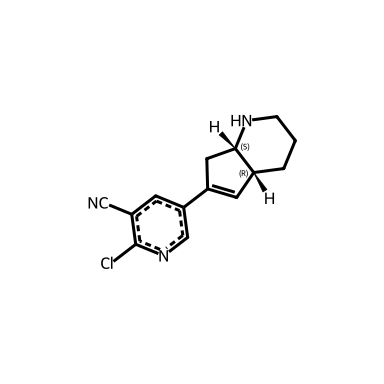 N#Cc1cc(C2=C[C@H]3CCCN[C@H]3C2)cnc1Cl